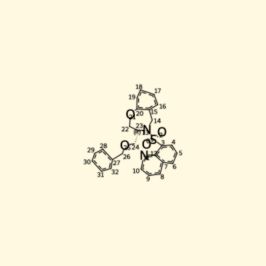 O=S(=O)(c1cccc2cccnc12)N1Cc2ccccc2OC[C@H]1COCc1ccccc1